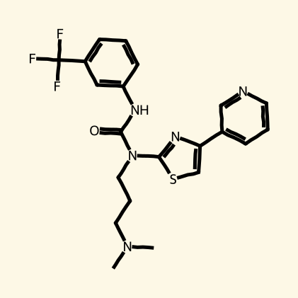 CN(C)CCCN(C(=O)Nc1cccc(C(F)(F)F)c1)c1nc(-c2cccnc2)cs1